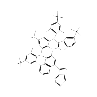 Cc1cc(C(C)(C)C)cc(C)c1N1c2cc(C(C)C)cc3c2B(c2cc(-c4coc5ccccc45)ccc2N3c2c(C)cc(C(C)(C)C)cc2-c2ccccc2)c2oc3ccc(C(C)(C)C)cc3c21